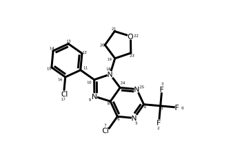 FC(F)(F)c1nc(Cl)c2nc(-c3ccccc3Cl)n(C3CCOC3)c2n1